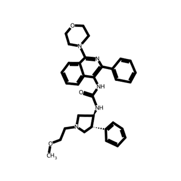 COCCN1C[C@@H](NC(=O)Nc2c(-c3ccccc3)nc(N3CCOCC3)c3ccccc23)[C@H](c2ccccc2)C1